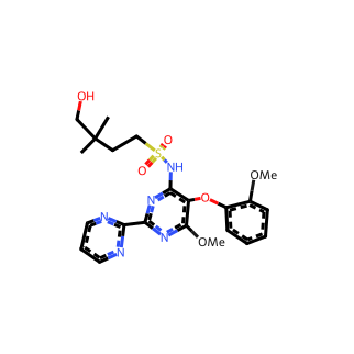 COc1ccccc1Oc1c(NS(=O)(=O)CCC(C)(C)CO)nc(-c2ncccn2)nc1OC